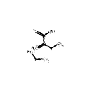 C=C(CC)C(=O)O.CCO